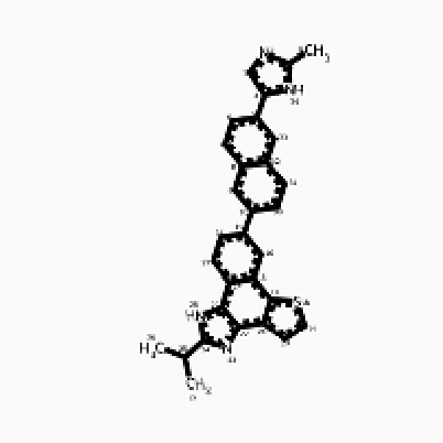 Cc1ncc(-c2ccc3cc(-c4ccc5c(c4)c4sccc4c4nc(C(C)C)[nH]c54)ccc3c2)[nH]1